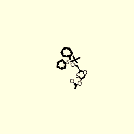 CC(=O)O[C@@H]1CO[C@H](CO[Si](c2ccccc2)(c2ccccc2)C(C)(C)C)S1